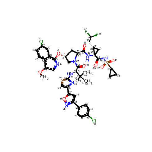 COc1cnc(O[C@@H]2C[C@@H](C(=O)N[C@]3(C(=O)NS(=O)(=O)C4CC4)C[C@H]3CC(F)F)N(C(=O)[C@@H](Nc3nc(-c4cc(-c5ccc(Cl)cc5)no4)cs3)C(C)(C)C)C2)c2cc(Cl)ccc12